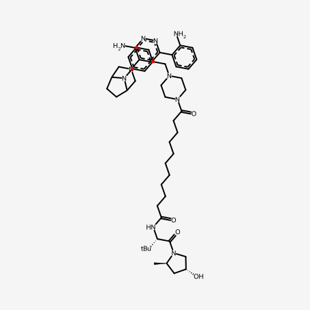 C[C@@H]1C[C@@H](O)CN1C(=O)[C@@H](NC(=O)CCCCCCCCCC(=O)N1CCN(Cc2cccc(N3C4CCC3CN(c3cc(-c5ccccc5N)nnc3N)C4)c2)CC1)C(C)(C)C